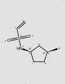 C=CS(=O)(=O)N[C@@H]1CC[C@H](C)C1